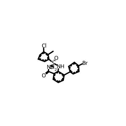 Cc1c(Cl)cccc1S(=O)(=O)Nc1c(C(N)=O)cccc1-c1ccc(Br)cc1